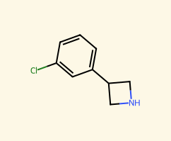 Clc1cccc(C2CNC2)c1